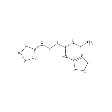 [CH2]COC(CCOC1=CCCC1)OC1=CCCC1